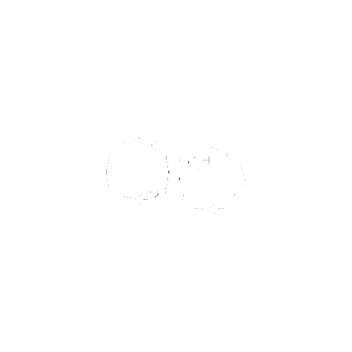 O=C(O)C1(C2(C(=O)O)CCCCCCCCCCC2)CCCCCCCCCCC1